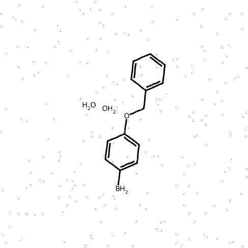 Bc1ccc(OCc2ccccc2)cc1.O.O